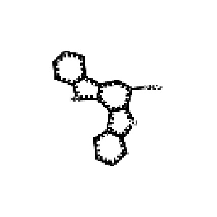 CC(=O)Nc1cc2c3ccccc3[nH]c2c2c1oc1ccccc12